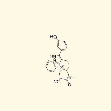 C[C@@H]1C(=O)C(C#N)C[C@@]2(c3ccccc3)c3n[nH]c(-c4cccc(O)c4)c3CCC12